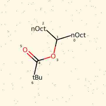 CCCCCCCCC(CCCCCCCC)OC(=O)C(C)(C)C